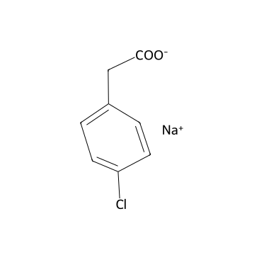 O=C([O-])Cc1ccc(Cl)cc1.[Na+]